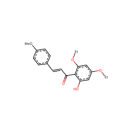 CCOc1cc(O)c(C(=O)C=Cc2ccc(OC)cc2)c(OCC)c1